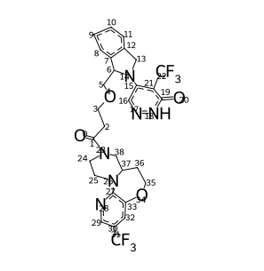 O=C(CCOCC1c2ccccc2CN1c1cn[nH]c(=O)c1C(F)(F)F)N1CCN2c3ncc(C(F)(F)F)cc3OCCC2C1